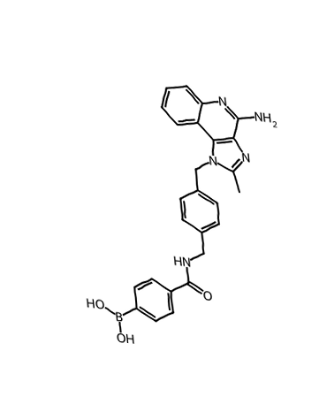 Cc1nc2c(N)nc3ccccc3c2n1Cc1ccc(CNC(=O)c2ccc(B(O)O)cc2)cc1